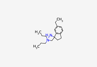 CCCN(CCC)CC1(N)CCc2ccc(CC)cc21